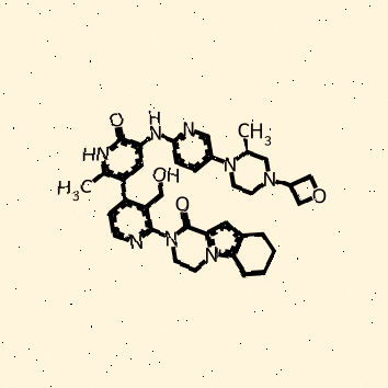 Cc1[nH]c(=O)c(Nc2ccc(N3CCN(C4COC4)C[C@@H]3C)cn2)cc1-c1ccnc(N2CCn3c(cc4c3CCCC4)C2=O)c1CO